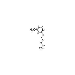 Cc1ccnc(CCCCCCl)c1